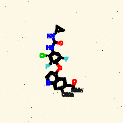 CNC(=O)c1cc2c(Oc3c(F)cc(NC(=O)NC4CC4)c(Cl)c3F)ccnc2cc1OC